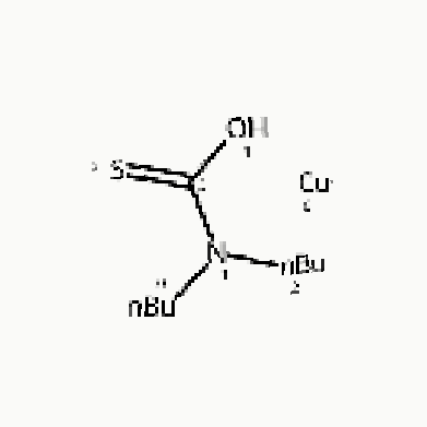 CCCCN(CCCC)C(O)=S.[Cu]